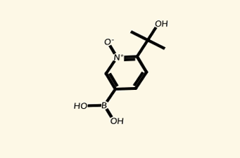 CC(C)(O)c1ccc(B(O)O)c[n+]1[O-]